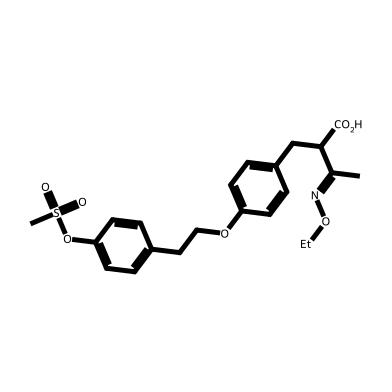 CCON=C(C)C(Cc1ccc(OCCc2ccc(OS(C)(=O)=O)cc2)cc1)C(=O)O